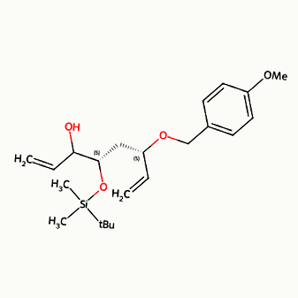 C=CC(O)[C@H](C[C@@H](C=C)OCc1ccc(OC)cc1)O[Si](C)(C)C(C)(C)C